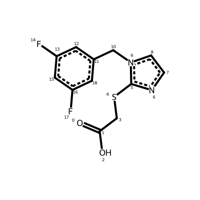 O=C(O)CSc1nccn1Cc1cc(F)cc(F)c1